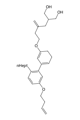 C=CCCOc1ccc(CCCCCCC)c(C2=CCCC(OCCC(=C)CC(CO)CO)=C2)c1